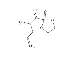 C=CCC(C)C(=C)P1(=O)OCCO1